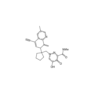 C#CC1=CC(C2(Cn3cc(O)c(=O)c(C(=O)NC)n3)CCCC2)C(=C)c2ncc(C)cc21